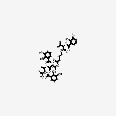 CC(O)[C@@H](NC(=O)c1cccc(O)c1O)C(=O)OCCCC(=O)OC(C)[C@@H](NC(=O)c1cccc(O)c1O)C(=O)OC(C)[C@@H](NC(=O)c1cccc(O)c1O)C(=O)O